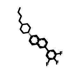 CCCC[C@H]1CC[C@H](c2ccc3cc(-c4cc(F)c(F)c(F)c4)ccc3c2)CC1